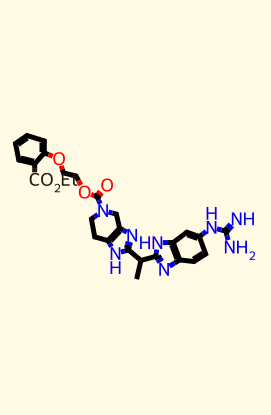 CCOC(=O)c1ccccc1OCCOC(=O)N1CCc2[nH]c(C(C)c3nc4ccc(NC(=N)N)cc4[nH]3)nc2C1